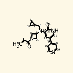 C=CC(=O)N1CC(N(CC2CC2)c2cc(-c3ccncc3)c[nH]c2=O)C1